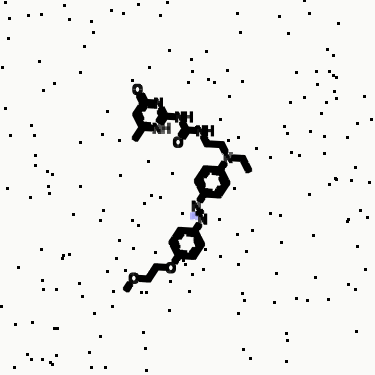 CCN(CCNC(=O)Nc1nc(=O)cc(C)[nH]1)c1ccc(/N=N/c2ccc(OCCOC)cc2)cc1